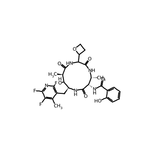 Cc1c(F)c(F)nc(F)c1C[C@@H]1NC(=O)[C@@H](NC(=O)c2ccccc2O)[C@@H](C)NC(=O)C(C2CCO2)NC(=O)[C@H](C)[C@@H]1O